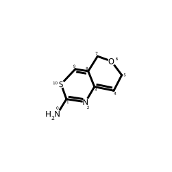 NC1=NC2=CCOCC2=CS1